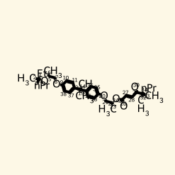 CCCC(C)(CC)OC(C)COc1ccc(C(C)(C)c2ccc(OCC(C)OC(=O)/C=C/C(=O)C(C)(C)CCC)cc2)cc1